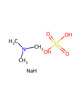 CN(C)C.O=S(=O)(O)O.[NaH]